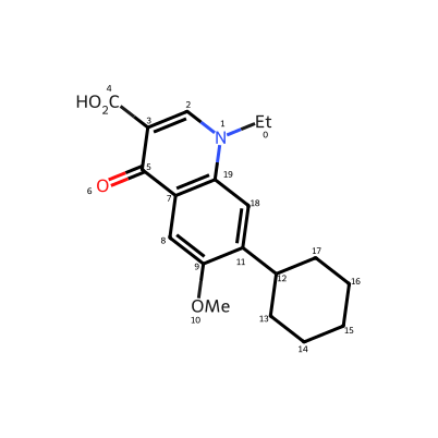 CCn1cc(C(=O)O)c(=O)c2cc(OC)c(C3CCCCC3)cc21